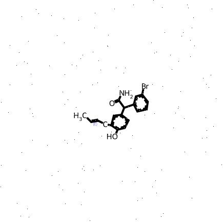 C/C=C/Cc1cc(C(C(N)=O)c2cccc(Br)c2)ccc1O